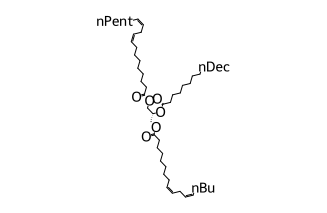 CCCC/C=C\C/C=C\CCCCCCCC(=O)OC[C@H](COC(=O)CCCCCCC/C=C\C/C=C\CCCCC)OC(=O)CCCCCCCCCCCCCCCCC